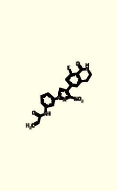 C=CC(=O)Nc1cccc(-n2cc(-c3cc(F)c4c(c3)CCNC4=O)c([N+](=O)[O-])n2)c1